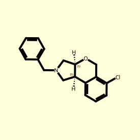 Clc1cccc2c1CO[C@@H]1CN(Cc3ccccc3)C[C@H]21